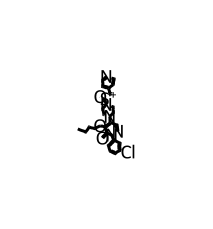 CCCCOc1c(N2CCN([S+]([O-])Cc3ccncc3)CC2)cnn(-c2cccc(Cl)c2)c1=O